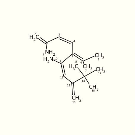 C=C(N)/C=C\C(=C(C)C)/C(N)=C\C(=C)C(C)(C)C